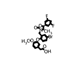 COc1ccc(CC(=O)O)cc1Oc1ccc(Br)cc1CN1C(=O)O[C@@H](c2cc(F)cc(F)c2)[C@H]1C